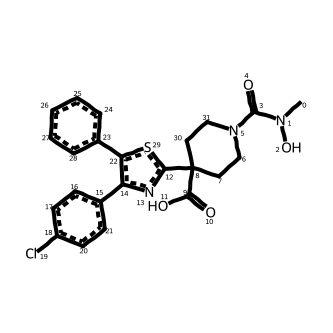 CN(O)C(=O)N1CCC(C(=O)O)(c2nc(-c3ccc(Cl)cc3)c(-c3ccccc3)s2)CC1